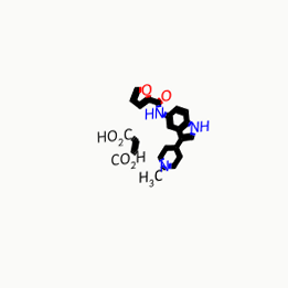 CN1CCC(c2c[nH]c3ccc(NC(=O)c4ccco4)cc23)CC1.O=C(O)/C=C/C(=O)O